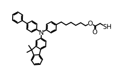 CC1(C)c2ccccc2-c2ccc(N(c3ccc(CCCCCCOC(=O)CS)cc3)c3ccc(-c4ccccc4)cc3)cc21